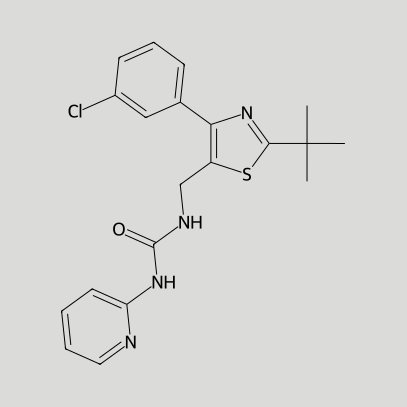 CC(C)(C)c1nc(-c2cccc(Cl)c2)c(CNC(=O)Nc2ccccn2)s1